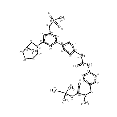 CN(Cc1ccc(NC(=O)Nc2ccc(-c3nc(CS(C)(=O)=O)cc(N4CC5CCC(C4)O5)n3)cc2)cc1)C(=O)OC(C)(C)C